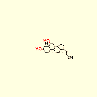 C[C@H](CC#N)[C@H]1CCC2C3C[C@H](O)[C@@H]4C[C@H](O)CC[C@]4(C)C3CC[C@@]21C